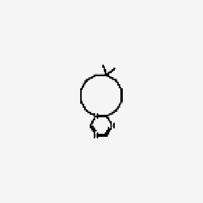 CC1(C)CCCCCN2C=NC=NC2CCCC1